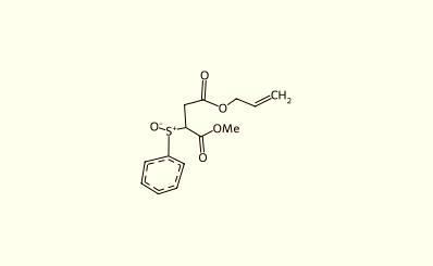 C=CCOC(=O)CC(C(=O)OC)[S+]([O-])c1ccccc1